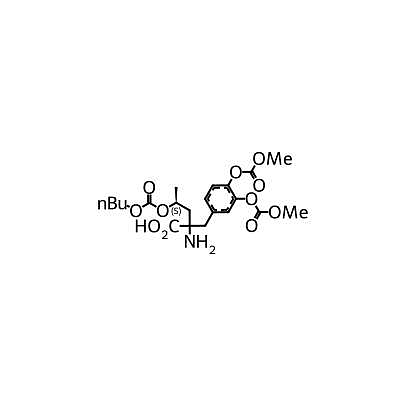 CCCCOC(=O)O[C@@H](C)CC(N)(Cc1ccc(OC(=O)OC)c(OC(=O)OC)c1)C(=O)O